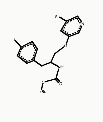 CC(C)(C)OC(=O)NC(COc1cncc(Br)c1)Cc1ccc(I)cc1